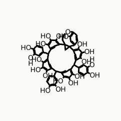 Oc1ccc(C2c3cc(c(O)c(O)c3O)C(c3ccc(O)c(O)c3)c3cc(c(O)c(O)c3O)C34CCOc5ccc(cc5O)C3(C4)c3cc(c(O)c(O)c3O)C(c3ccc(O)c(O)c3)c3cc2c(O)c(O)c3O)cc1O